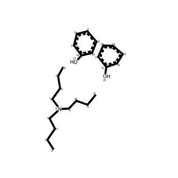 CCCCN(CCCC)CCCC.Oc1ccccc1.Oc1ccccc1